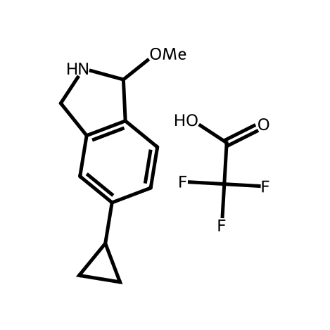 COC1NCc2cc(C3CC3)ccc21.O=C(O)C(F)(F)F